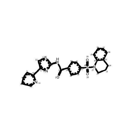 O=C(Nc1nc(-c2ccccn2)cs1)c1ccc(S(=O)(=O)N2CCCc3ccccc32)cc1